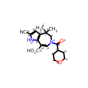 CC1(C)CN(C(=O)C2CCOCC2)C=C(C(=O)O)c2[nH]c(C#N)cc21